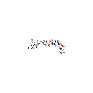 COc1ccc(Cl)cc1C(=O)NCCc1ccc(S(=O)(=O)NC(=O)c2ccc(OC(=O)OC3CCCC3)nc2)cc1